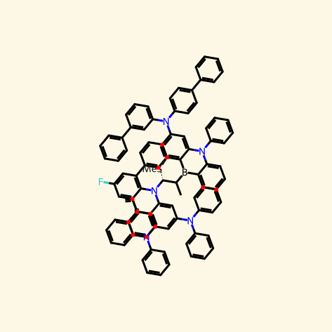 C=CB1c2ccccc2N(c2ccccc2)c2cc(N(c3ccccc3)c3ccccc3)cc(N(c3c(-c4ccccc4)cc(F)cc3-c3ccccc3)[C@H](C)C(C)B3c4ccccc4N(c4ccccc4)c4cc(N(c5ccc(-c6ccccc6)cc5)c5cccc(-c6ccccc6)c5)cc(SC)c43)c21